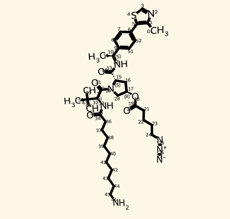 Cc1ncsc1-c1ccc([C@H](C)NC(=O)[C@@H]2C[C@@H](OC(=O)CCCCN=[N+]=[N-])CN2C(=O)[C@@H](NC(=O)CCCCCCCCCCN)C(C)(C)C)cc1